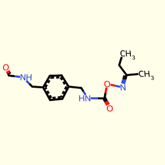 CC/C(C)=N\OC(=O)NCc1ccc(CNC=O)cc1